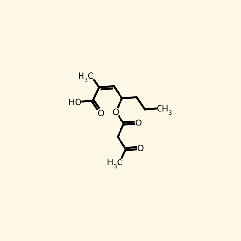 CCCC(C=C(C)C(=O)O)OC(=O)CC(C)=O